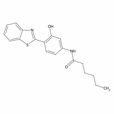 CCCCCC(=O)Nc1ccc(-c2nc3ccccc3s2)c(O)c1